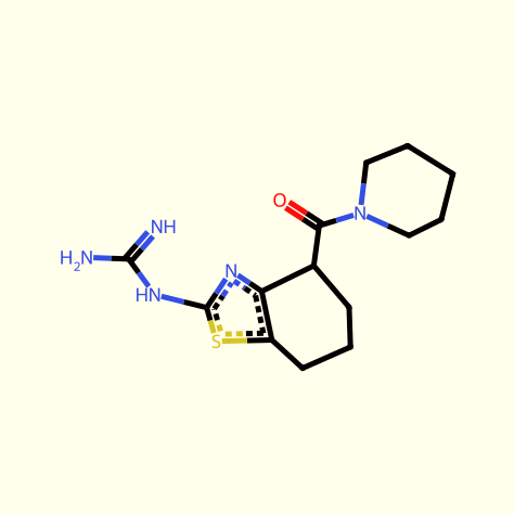 N=C(N)Nc1nc2c(s1)CCCC2C(=O)N1CCCCC1